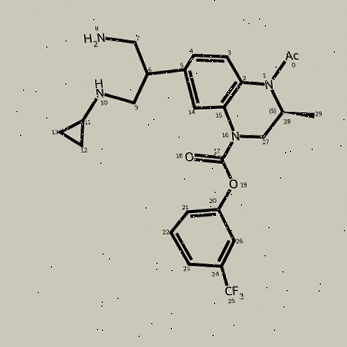 CC(=O)N1c2ccc(C(CN)CNC3CC3)cc2N(C(=O)Oc2cccc(C(F)(F)F)c2)C[C@@H]1C